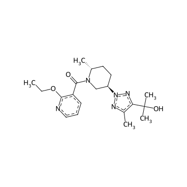 CCOc1ncccc1C(=O)N1C[C@H](n2nc(C)c(C(C)(C)O)n2)CC[C@H]1C